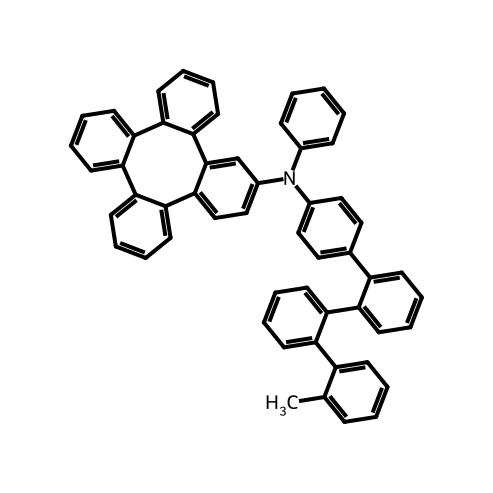 Cc1ccccc1-c1ccccc1-c1ccccc1-c1ccc(N(c2ccccc2)c2ccc3c(c2)-c2ccccc2-c2ccccc2-c2ccccc2-3)cc1